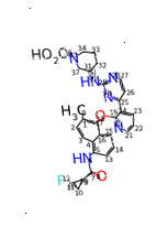 Cc1ccc2c(NC(=O)[C@H]3C[C@@H]3F)cccc2c1Oc1ncccc1-c1ccnc(N[C@H]2CCCN(C(=O)O)C2)n1